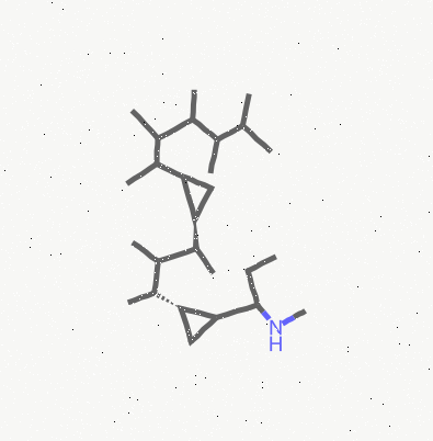 CCC(NC)C1C[C@@H]1C(C)C(C)C(C)[C@@H]1CC1C(C)C(C)C(C)C(C)C(C)C